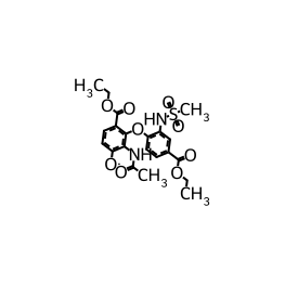 CCOC(=O)c1ccc(Oc2c(C(=O)OCC)ccc([O])c2NC(C)=O)c(NS(C)(=O)=O)c1